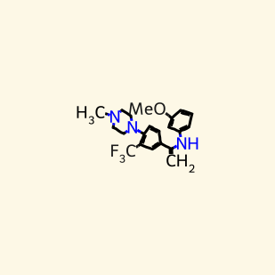 C=C(Nc1cccc(OC)c1)c1ccc(N2CCN(C)CC2)c(C(F)(F)F)c1